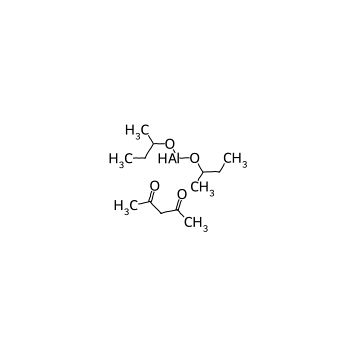 CC(=O)CC(C)=O.CCC(C)[O][AlH][O]C(C)CC